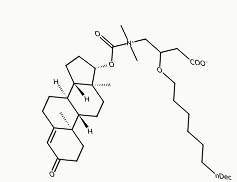 CCCCCCCCCCCCCCCCOC(CC(=O)[O-])C[N+](C)(C)C(=O)O[C@H]1CC[C@H]2[C@@H]3CCC4=CC(=O)CC[C@]4(C)[C@H]3CC[C@]12C